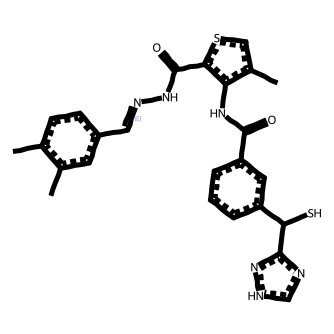 Cc1ccc(/C=N/NC(=O)c2scc(C)c2NC(=O)c2cccc(C(S)c3nc[nH]n3)c2)cc1C